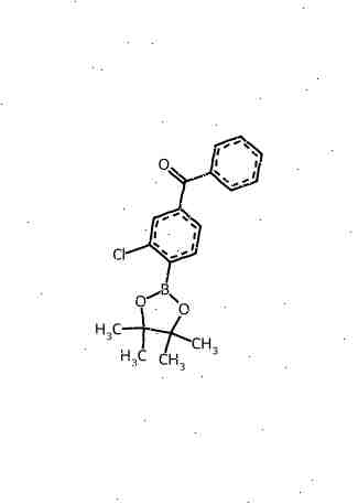 CC1(C)OB(c2ccc(C(=O)c3ccccc3)cc2Cl)OC1(C)C